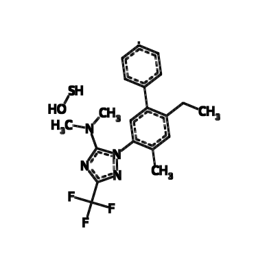 CCc1cc(C)c(-n2nc(C(F)(F)F)nc2N(C)C)cc1-c1cc[c]cc1.OS